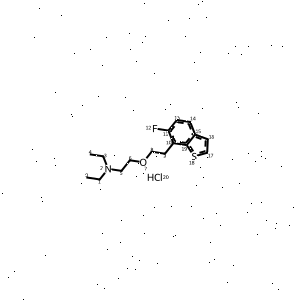 CCN(CC)CCOCCc1c(F)ccc2ccsc12.Cl